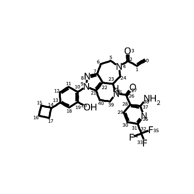 C=CC(=O)N1CCc2nn(-c3ccc(C4CCC4)cc3O)c3c2[C@H](C1)N(C(=O)c1ccc(C(F)(F)F)nc1N)CC3